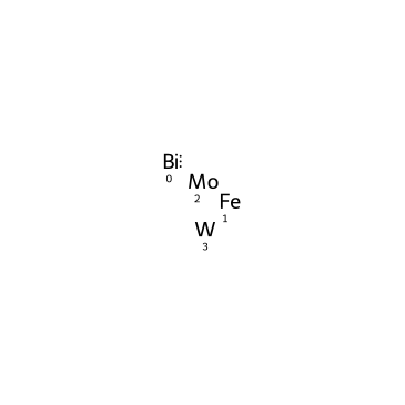 [Bi].[Fe].[Mo].[W]